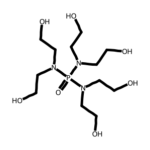 O=P(N(CCO)CCO)(N(CCO)CCO)N(CCO)CCO